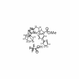 COC(=O)CCC1(c2ccc(-c3ccccc3)cc2)CCc2nnc(C34CC5CC(CC(C5)C3)C4)n2C1.O=C(O)C(F)(F)F